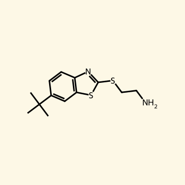 CC(C)(C)c1ccc2nc(SCCN)sc2c1